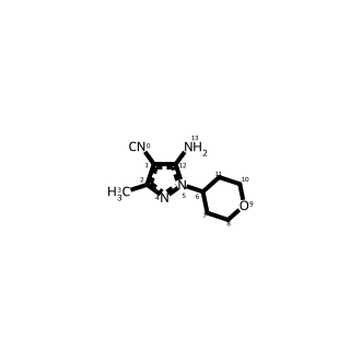 [C-]#[N+]c1c(C)nn(C2CCOCC2)c1N